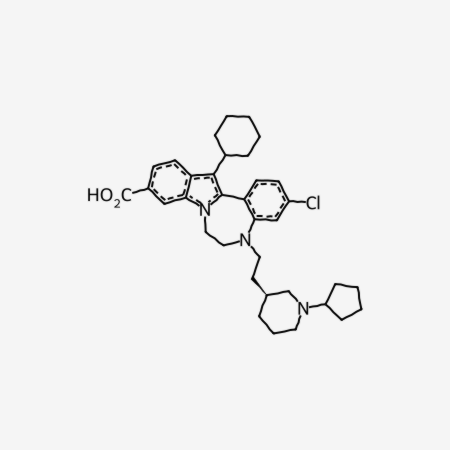 O=C(O)c1ccc2c(C3CCCCC3)c3n(c2c1)CCN(CC[C@@H]1CCCN(C2CCCC2)C1)c1cc(Cl)ccc1-3